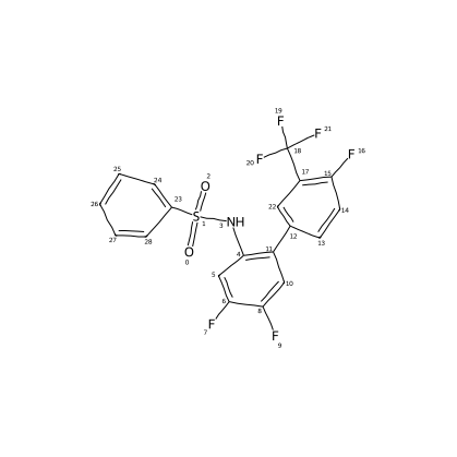 O=S(=O)(Nc1cc(F)c(F)cc1-c1ccc(F)c(C(F)(F)F)c1)c1ccccc1